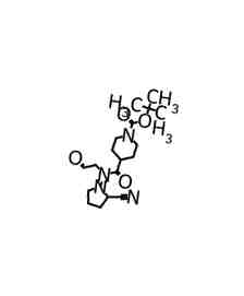 CC(C)(C)OC(=O)N1CCC(C(=O)N(CC=O)N2CCCC2C#N)CC1